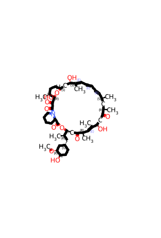 CO[C@@H]1C[C@H](C[C@@H](C)[C@@H]2CC(=O)[C@H](C)/C=C(\C)[C@@H](O)CC(=O)[C@H](C)C[C@H](C)/C=C/C=C/C=C(\C)[C@@H](O)C[C@@H]3CC[C@@H](C)[C@@](O)(O3)C(=O)C(=O)N3CCCCC3C(=O)O2)CC[C@H]1O